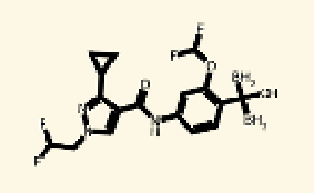 BC(B)(O)c1ccc(NC(=O)c2cn(CC(F)F)nc2C2CC2)cc1OC(F)F